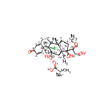 CCC(=O)[O-].C[C@H]1C[C@H]2[C@@H]3CCC4=CC(=O)C=C[C@]4(C)[C@@]3(F)[C@@H](O)C[C@]2(C)[C@@]1(O)C(=O)CO.[Na+]